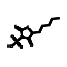 CCCCCC1SC(=S)N(S(=O)(=O)O)C1=O